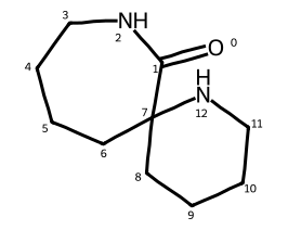 O=C1NCCCCC12CCCCN2